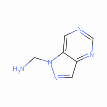 NCn1ncc2ncncc21